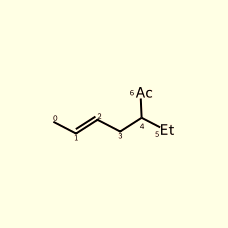 CC=CCC(CC)C(C)=O